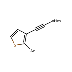 CCCCCCC#Cc1ccsc1C(C)=O